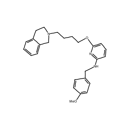 COc1ccc(CNc2cccc(OCCCCN3CCc4ccccc4C3)n2)cc1